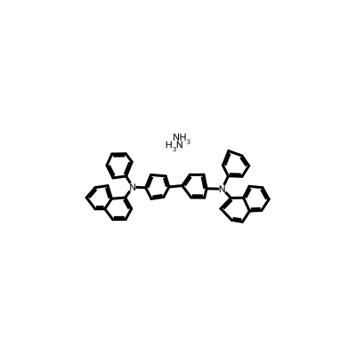 N.N.c1ccc(N(c2ccc(-c3ccc(N(c4ccccc4)c4cccc5ccccc45)cc3)cc2)c2cccc3ccccc23)cc1